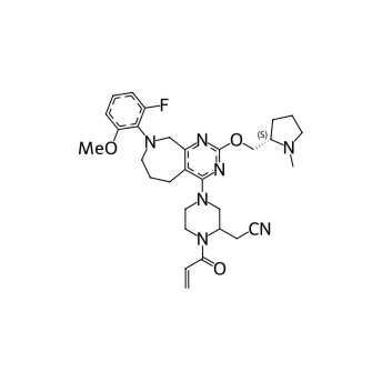 C=CC(=O)N1CCN(c2nc(OC[C@@H]3CCCN3C)nc3c2CCCN(c2c(F)cccc2OC)C3)CC1CC#N